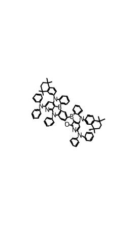 CC1(C)CCC(C)(C)c2cc(N3c4ccccc4B4c5cc6c(cc5Oc5nc(N(c7ccccc7)c7ccccc7)cc3c54)N(c3ccccc3)c3nc(N(c4ccccc4)c4ccccc4)cc4c3B6c3ccccc3N4c3ccc4c(c3)C(C)(C)CCC4(C)C)ccc21